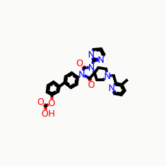 Cc1cccnc1CN1CCC2(CC1)C(=O)N(c1ccc(-c3cccc(OC(=O)O)c3)cc1)C(=O)N2c1ncccn1